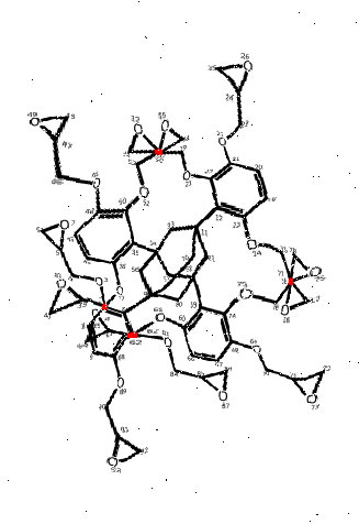 c1cc(OCC2CO2)c(C23CC4(c5c(OCC6CO6)ccc(OCC6CO6)c5OCC5CO5)CC(c5c(OCC6CO6)ccc(OCC6CO6)c5OCC5CO5)(C2)CC(c2c(OCC5CO5)ccc(OCC5CO5)c2OCC2CO2)(C3)C4)c(OCC2CO2)c1OCC1CO1